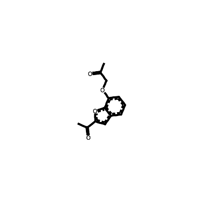 CC(=O)COc1cccc2cc(C(C)=O)oc12